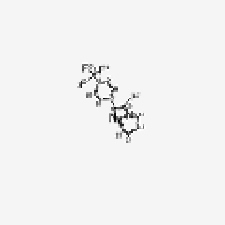 FC(F)(F)c1ccc(-c2nc3ccccn3c2I)cc1